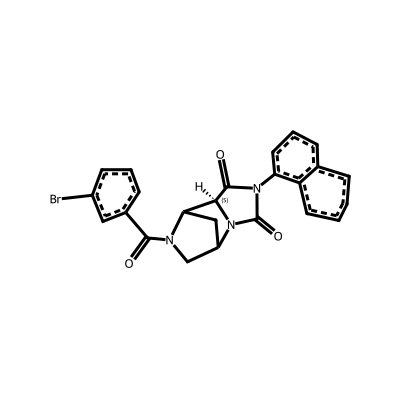 O=C1[C@@H]2C3CC(CN3C(=O)c3cccc(Br)c3)N2C(=O)N1c1cccc2ccccc12